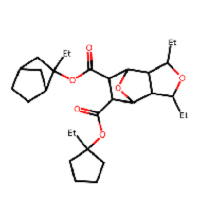 CCC1OC(CC)C2C3OC(C(C(=O)OC4(CC)CCCC4)C3C(=O)OC3(CC)CC4CCC3C4)C12